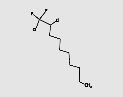 CCCCCCCCC(Cl)C(F)(F)Cl